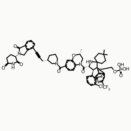 C[C@@H]1CN(C(=O)[C@@H]2NC3(CCC(C)(C)CC3)[C@@]3(CN(COP(=O)(O)O)c4cc(C(F)(F)F)ncc43)[C@H]2c2cccc(Cl)c2F)c2ccc(C(=O)N3CCC[C@@H](CC#Cc4cccc5c4CN([C@H]4CCC(=O)NC4=O)C5=O)C3)cc2O1